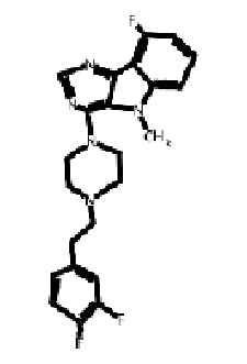 Cn1c2cccc(F)c2c2ncnc(N3CCN(CCc4ccc(F)c(F)c4)CC3)c21